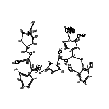 COc1ccc(C(Cc2c(Cl)cncc2Cl)OC(=O)c2ccc(CNC(C(=O)OCC3CCN(C)CC3)c3ccccc3)s2)cc1OC